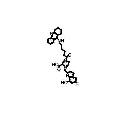 O=C(O)C1CN(C(=O)CCCCCNc2c3c(nc4ccccc24)CCCC3)CCN1Cc1ccc2cc(F)cc(O)c2n1